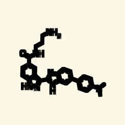 CN(C)c1ccc(-c2ccc3nc(-c4n[nH]c5ccc(C(=O)NCCCN)cc45)[nH]c3c2)cc1